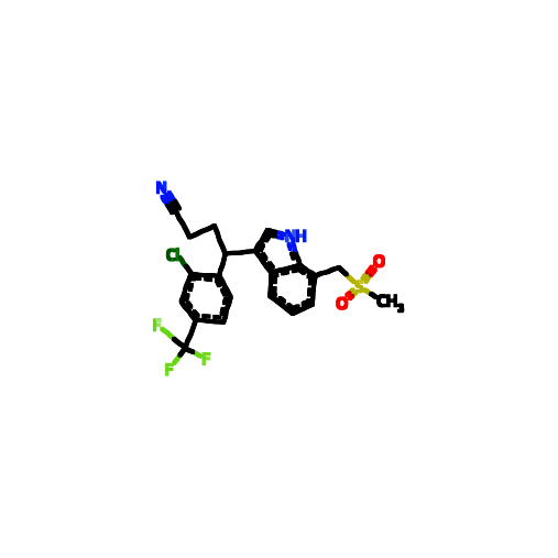 CS(=O)(=O)Cc1cccc2c(C(CCC#N)c3ccc(C(F)(F)F)cc3Cl)c[nH]c12